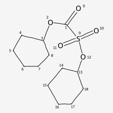 O=C(OC1CCCCC1)S(=O)(=O)OC1CCCCC1